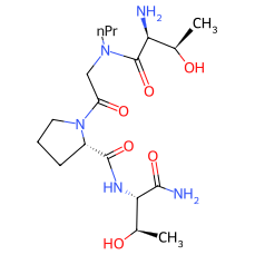 CCCN(CC(=O)N1CCC[C@H]1C(=O)N[C@H](C(N)=O)[C@@H](C)O)C(=O)[C@@H](N)[C@@H](C)O